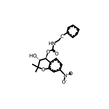 CC1(C)Oc2cc([N+](=O)[O-])ccc2[C@H](OC(=O)NCCc2ccccc2)[C@H]1O